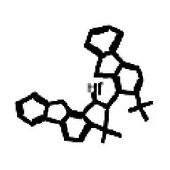 CC(C)(C)c1ccc2c(c1C[CH]([Hf])c1c(C(C)(C)C)ccc3c1Cc1ccccc1-3)Cc1ccccc1-2